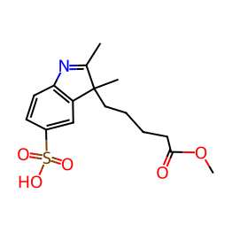 COC(=O)CCCCC1(C)C(C)=Nc2ccc(S(=O)(=O)O)cc21